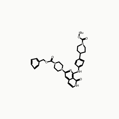 CC(C)(C)OC(=O)N1CCC(c2ccc(Nc3nc(N4CCN(C(=O)OCc5ccccc5)CC4)cc4cc[nH]c(=O)c34)cc2)CC1